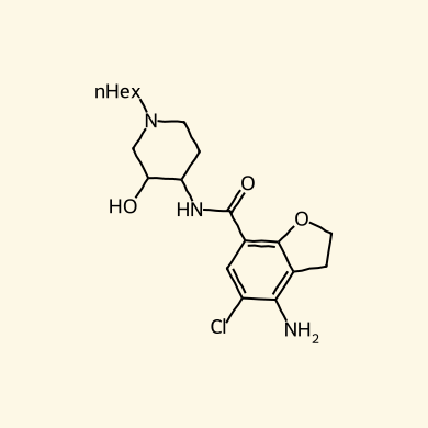 CCCCCCN1CCC(NC(=O)c2cc(Cl)c(N)c3c2OCC3)C(O)C1